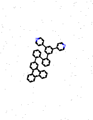 c1ccc(-c2ccccc2-c2ccc3c4ccccc4c4ccccc4c3c2)c(-c2cc(-c3ccncc3)cc(-c3ccncc3)c2)c1